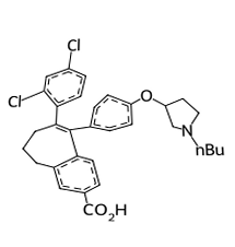 CCCCN1CCC(Oc2ccc(C3=C(c4ccc(Cl)cc4Cl)CCCc4cc(C(=O)O)ccc43)cc2)C1